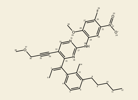 C/C=C(\c1cccc(CCCCC)c1C)c1nc(Nc2cc([N+](=O)[O-])c(F)cc2OC)ncc1C#CCOC